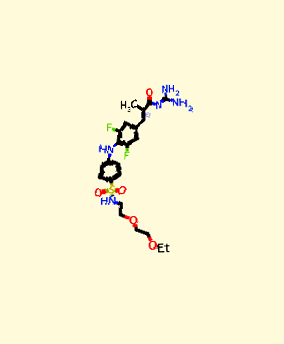 CCOCCOCCNS(=O)(=O)c1ccc(Nc2c(F)cc(/C=C(\C)C(=O)N=C(N)N)cc2F)cc1